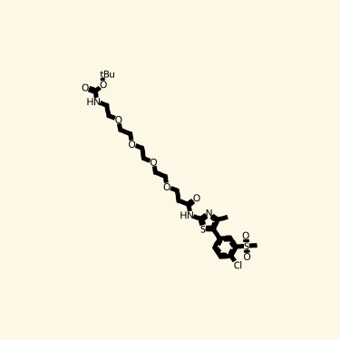 Cc1nc(NC(=O)CCOCCOCCOCCOCCNC(=O)OC(C)(C)C)sc1-c1ccc(Cl)c(S(C)(=O)=O)c1